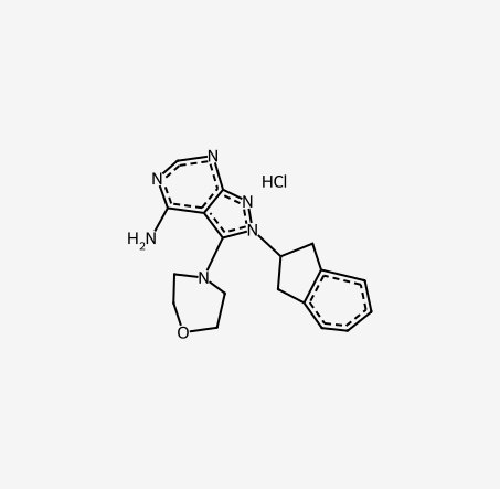 Cl.Nc1ncnc2nn(C3Cc4ccccc4C3)c(N3CCOCC3)c12